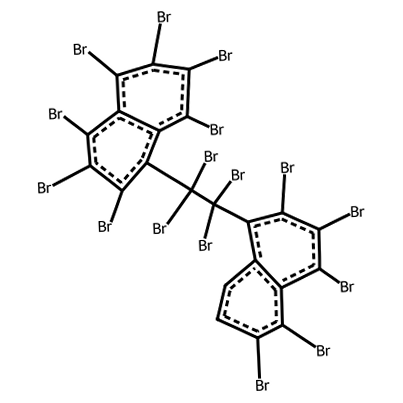 Brc1ccc2c(C(Br)(Br)C(Br)(Br)c3c(Br)c(Br)c(Br)c4c(Br)c(Br)c(Br)c(Br)c34)c(Br)c(Br)c(Br)c2c1Br